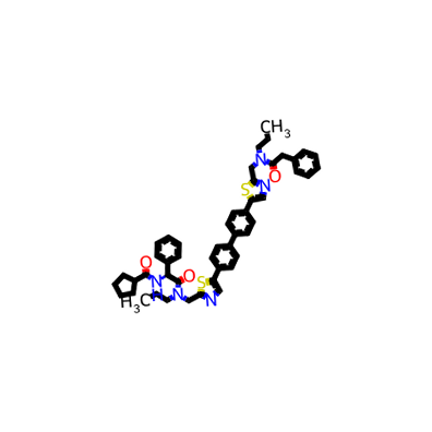 CCCN(Cc1ncc(-c2ccc(-c3ccc(-c4cnc(CN(CCC)C(=O)[C@@H](NC(=O)C5CCCC5)c5ccccc5)s4)cc3)cc2)s1)C(=O)Cc1ccccc1